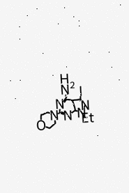 CCN1N=C(I)C2C(N)=NC(N3CCOCC3)=NC21